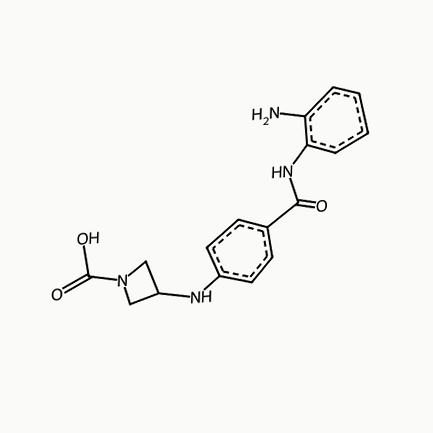 Nc1ccccc1NC(=O)c1ccc(NC2CN(C(=O)O)C2)cc1